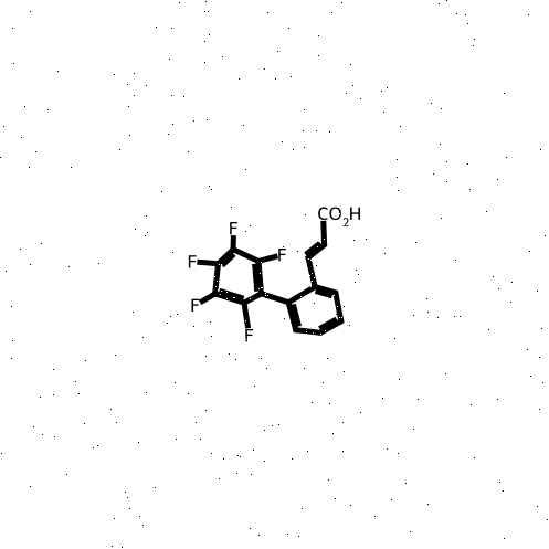 O=C(O)/C=C/c1ccccc1-c1c(F)c(F)c(F)c(F)c1F